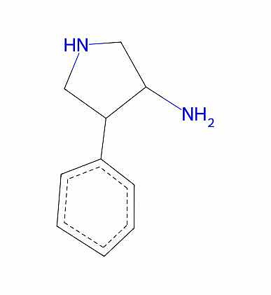 NC1CNCC1c1ccccc1